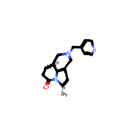 CC(C)[C@H]1CC2CN(Cc3ccncc3)C[C@H]3CCC(=O)N1C23